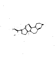 COC(=CCl)[C@@]1(O)CC[C@H]2[C@@H]3CCC4=CC(=O)CC[C@]4(C)C3=CC[C@@]21C